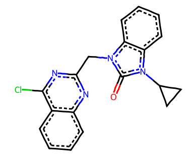 O=c1n(Cc2nc(Cl)c3ccccc3n2)c2ccccc2n1C1CC1